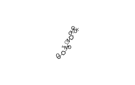 CC(C)(C)OC(=O)C(C)(C)Oc1cccc(N2CCCC(C(=O)N(Cc3ccc(-c4ccco4)cc3)C3CC3)C2)c1